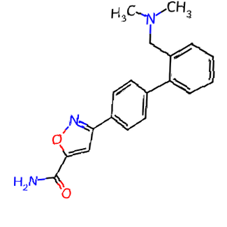 CN(C)Cc1ccccc1-c1ccc(-c2cc(C(N)=O)on2)cc1